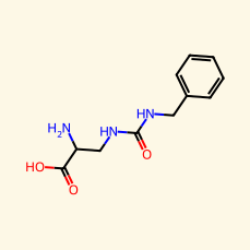 NC(CNC(=O)NCc1ccccc1)C(=O)O